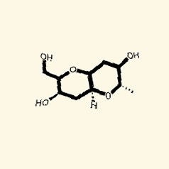 C[C@@H]1O[C@H]2C[C@@H](O)C(CO)OC2CC1O